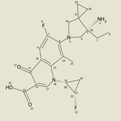 CC[C@@]1(N)CN(c2c(F)cc3c(=O)c(C(=O)O)cn([C@@H]4C[C@@H]4F)c3c2C)CC12CC2